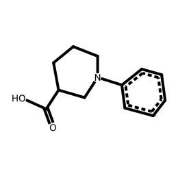 O=C(O)C1CCCN(c2c[c]ccc2)C1